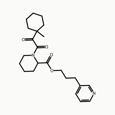 CC1(C(=O)C(=O)N2CCCCC2C(=O)OCCCc2cccnc2)CCCCC1